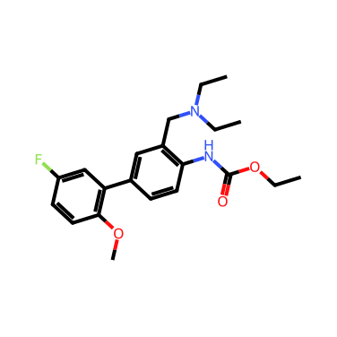 CCOC(=O)Nc1ccc(-c2cc(F)ccc2OC)cc1CN(CC)CC